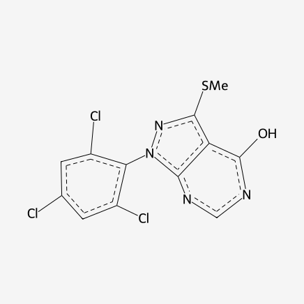 CSc1nn(-c2c(Cl)cc(Cl)cc2Cl)c2ncnc(O)c12